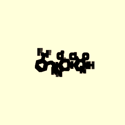 CO[C@H]1CN(c2cn[nH]c(=O)c2Cl)Cc2nnn(Cc3ccccc3C(F)F)c21